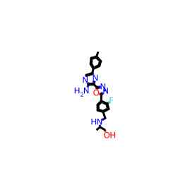 Cc1ccc(-c2cnc(N)c(-c3nnc(-c4ccc(CNC(C)CO)cc4F)o3)n2)cc1